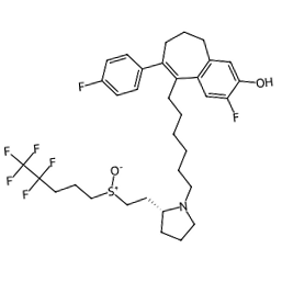 [O-][S+](CCCC(F)(F)C(F)(F)F)CC[C@H]1CCCN1CCCCCCC1=C(c2ccc(F)cc2)CCCc2cc(O)c(F)cc21